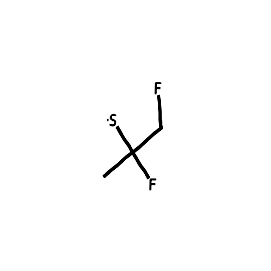 CC(F)([S])CF